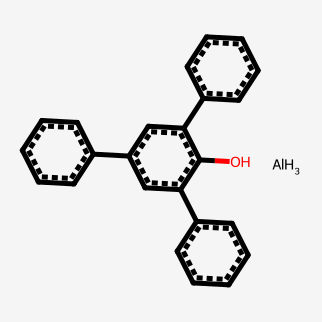 Oc1c(-c2ccccc2)cc(-c2ccccc2)cc1-c1ccccc1.[AlH3]